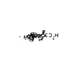 O=C(O)c1cc(C2CC2)c(OCC2CCN(S(=O)(=O)c3ccc(C(F)(F)F)cc3Cl)CC2)cc1F